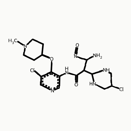 CN1CCC(Oc2c(Cl)cncc2NC(=O)C(C(N)N=O)C2NCC(Cl)CN2)CC1